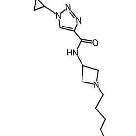 CCCCCN1CC(NC(=O)c2cn(C3CC3)nn2)C1